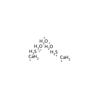 O.O.O.S.S.[CaH2].[CaH2]